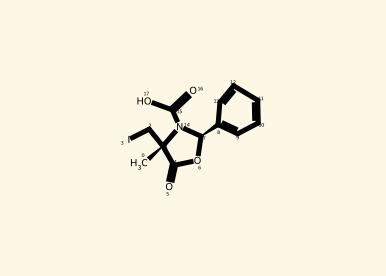 C[C@]1(CI)C(=O)O[C@H](c2ccccc2)N1C(=O)O